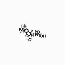 Cc1cc(C(C)(C(F)(F)F)C(F)(F)F)ccc1-c1sc(-c2noc(C(C)(C)O)n2)nc1C(=O)N1CCC[C@@H]1C